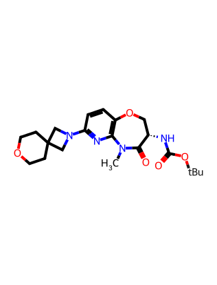 CN1C(=O)[C@@H](NC(=O)OC(C)(C)C)COc2ccc(N3CC4(CCOCC4)C3)nc21